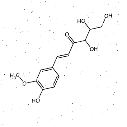 COc1cc(C=CC(=O)C(O)C(O)CO)ccc1O